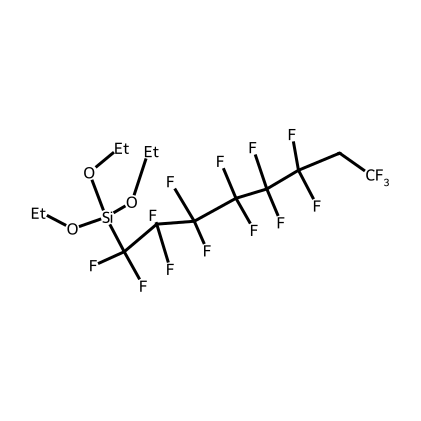 CCO[Si](OCC)(OCC)C(F)(F)C(F)(F)C(F)(F)C(F)(F)C(F)(F)C(F)(F)CC(F)(F)F